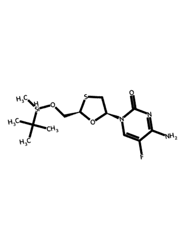 C[SiH](OC[C@@H]1O[C@H](n2cc(F)c(N)nc2=O)CS1)C(C)(C)C